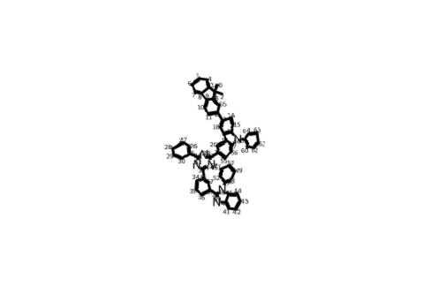 CC1(C)c2ccccc2-c2ccc(-c3ccc4c(c3)c3cc(-c5nc(-c6ccccc6)nc(-c6cccc(-c7nc8ccccc8n7-c7ccccc7)c6)n5)ccc3n4-c3ccccc3)cc21